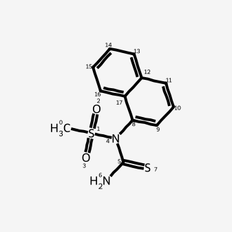 CS(=O)(=O)N(C(N)=S)c1cccc2ccccc12